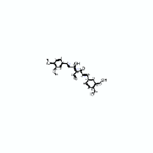 COc1ccc(/C=C/C(O)=C(\C=O)C(=O)/C=C/c2ccc(CO)c(CO)c2)cc1OC